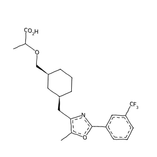 Cc1oc(-c2cccc(C(F)(F)F)c2)nc1C[C@@H]1CCC[C@H](COC(C)C(=O)O)C1